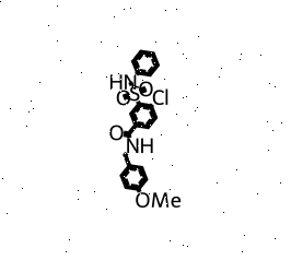 COc1ccc(CNC(=O)c2ccc(Cl)c(S(=O)(=O)Nc3ccccc3)c2)cc1